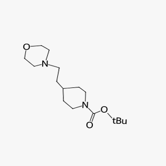 CC(C)(C)OC(=O)N1CCC(CCN2CCOCC2)CC1